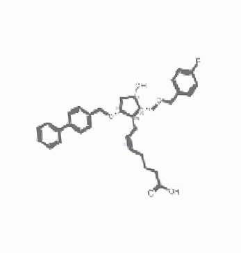 O=C(O)CCC/C=C\C[C@@H]1[C@@H](COCc2ccc(F)cc2)[C@@H](O)C[C@H]1OCc1ccc(-c2ccccc2)cc1